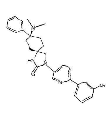 CN(C)[C@]1(c2ccccc2)CC[C@@]2(CC1)CN(c1cnc(-c3cccc(C#N)c3)nc1)C(=O)N2